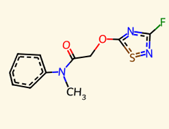 CN(C(=O)COc1nc(F)ns1)c1ccccc1